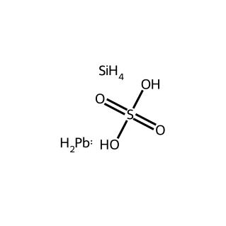 O=S(=O)(O)O.[PbH2].[SiH4]